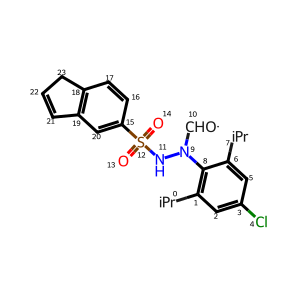 CC(C)c1cc(Cl)cc(C(C)C)c1N([C]=O)NS(=O)(=O)c1ccc2c(c1)C=CC2